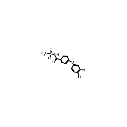 CS(=O)(=O)NC(=O)c1ccc(Oc2ccc(Cl)c(F)c2)cc1